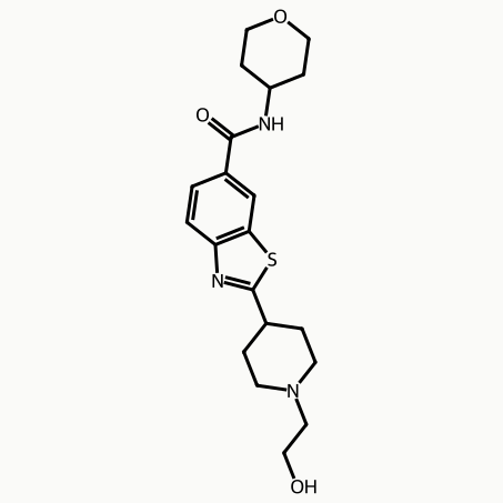 O=C(NC1CCOCC1)c1ccc2nc(C3CCN(CCO)CC3)sc2c1